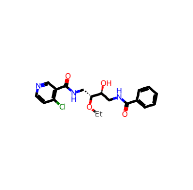 CCO[C@H](CNC(=O)c1cnccc1Cl)[C@@H](O)CNC(=O)c1ccccc1